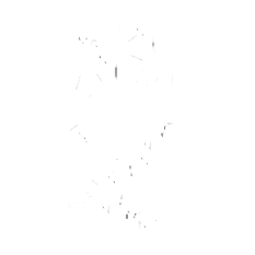 CCn1c(-c2cccnc2[C@H](C)OC)c2c3cc(ccc31)-c1csc(n1)C[C@H](NC(=O)[C@H](C(C)C)N(C)C(=O)N1CC3CC(C1)N3C)C(=O)N1CCC[C@H](N1)C(=O)OCC(C)(C)C2